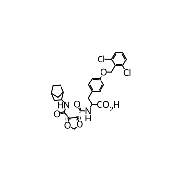 O=C(O)C(Cc1ccc(OCc2c(Cl)cccc2Cl)cc1)NC(=O)[C@@H]1OCO[C@H]1C(=O)NC1CC2CCC1C2